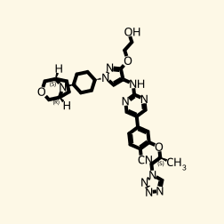 C[C@@H](Cn1cnnn1)Oc1cc(-c2cnc(Nc3cn([C@H]4CC[C@H](N5[C@@H]6CC[C@H]5COC6)CC4)nc3OCCO)nc2)ccc1C#N